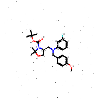 COc1ccc(CN(C[C@H]2COC(C)(C)N2C(=O)OC(C)(C)C)c2cccc(F)c2)cc1